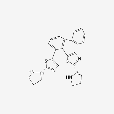 c1ccc(-c2cccc(-c3cnc([C@@H]4CCCN4)s3)c2-c2cnc([C@@H]3CCCN3)s2)cc1